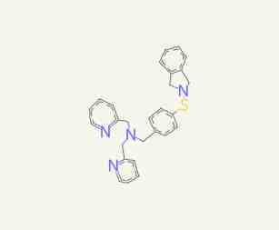 c1ccc(CN(Cc2ccc(SN3Cc4ccccc4C3)cc2)Cc2ccccn2)nc1